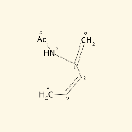 C=C(/C=C\C)NC(C)=O